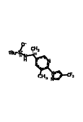 Cc1cc([C@@H](C)N[S@+]([O-])C(C)(C)C)cnc1-n1cc(C(F)(F)F)cn1